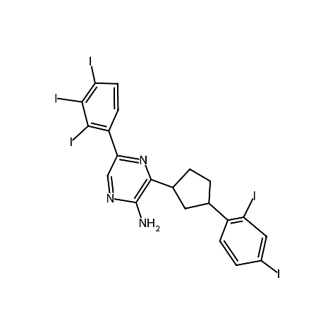 Nc1ncc(-c2ccc(I)c(I)c2I)nc1C1CCC(c2ccc(I)cc2I)C1